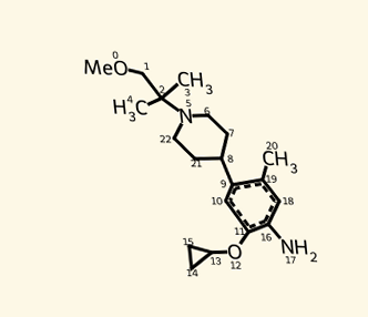 COCC(C)(C)N1CCC(c2cc(OC3CC3)c(N)cc2C)CC1